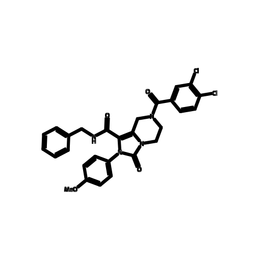 COc1ccc(-n2c(C(=O)NCc3ccccc3)c3n(c2=O)CCN(C(=O)c2ccc(Cl)c(Cl)c2)C3)cc1